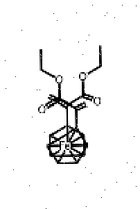 C=C(C(=O)OCC)[C]12[CH]3[CH]4[CH]5[CH]1[Fe]45321678[CH]2[CH]1[CH]6[C]7(C(=C)C(=O)OCC)[CH]28